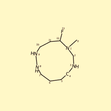 CN1CNCCCCNNCCC1F